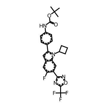 CC(C)(C)OC(=O)Nc1ccc(-c2cc3cc(F)c(-c4noc(C(F)(F)F)n4)cc3n2C2CCC2)cc1